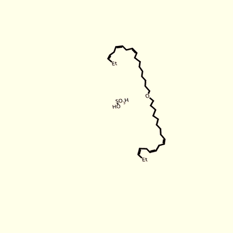 CC/C=C\C/C=C\C/C=C\CCCCCCCCOCCCCCCCC/C=C\C/C=C\C/C=C\CC.O=S(=O)(O)O